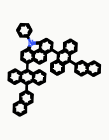 c1ccc(-n2c3ccc(-c4c5ccccc5c(-c5ccc6ccccc6c5)c5ccccc45)c4ccc5c(-c6c7ccccc7c(-c7ccc8ccccc8c7)c7ccccc67)ccc2c5c43)cc1